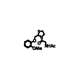 COc1ccccc1OCC1SCCN1C(=O)CNC(C)=O